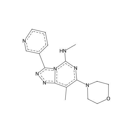 CNc1nc(N2CCOCC2)c(C)c2nnc(-c3cccnc3)n12